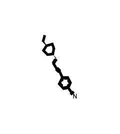 CC[C@H]1CC[C@H](C=CC#Cc2ccc(C#N)cc2)CC1